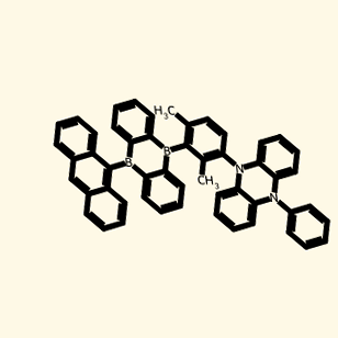 Cc1ccc(N2c3ccccc3N(c3ccccc3)c3ccccc32)c(C)c1B1c2ccccc2B(c2c3ccccc3cc3ccccc23)c2ccccc21